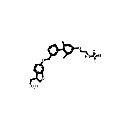 CCS(=O)(=O)NCCOc1cc(C)c(-c2cccc(COc3ccc4c(c3)OCC4CC(=O)O)c2)c(C)c1